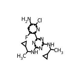 CC(Nc1nc(NC(C)C2CC2)nc(-c2nc(Cl)c(N)cc2F)n1)C1CC1